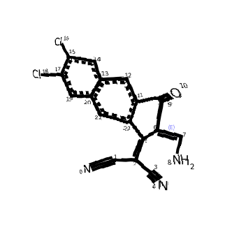 N#CC(C#N)=C1/C(=C\N)C(=O)c2cc3cc(Cl)c(Cl)cc3cc21